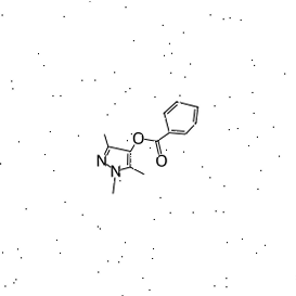 Cc1nn(C)c(C)c1OC(=O)c1ccccc1